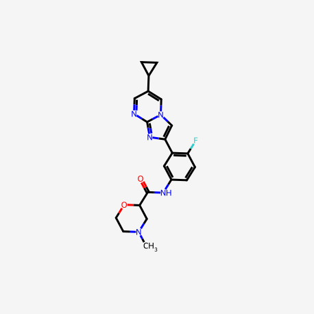 CN1CCOC(C(=O)Nc2ccc(F)c(-c3cn4cc(C5CC5)cnc4n3)c2)C1